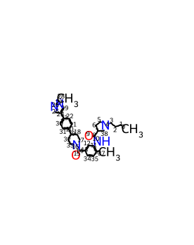 CCCCN1CCC(C(=O)Nc2cc(C(=O)N3CCC(c4ccc(-c5cnn(C)c5)cc4)CC3)ccc2C)C1